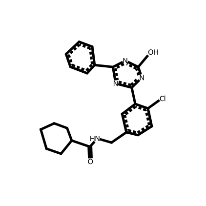 O=C(NCc1ccc(Cl)c(-c2nc(O)nc(-c3ccccc3)n2)c1)C1CCCCC1